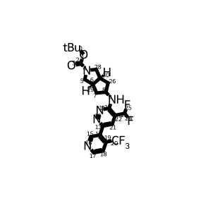 CC(C)(C)OC(=O)N1C[C@H]2CC(Nc3nnc(-c4cnccc4C(F)(F)F)cc3C(F)F)C[C@H]2C1